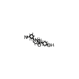 N#Cc1cccc(N2CCC[C@@]3(CCN(C4CCC(O)CC4)C3=O)C2)c1